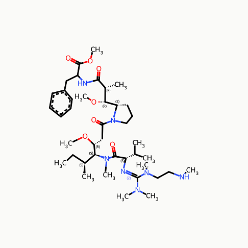 CC[C@H](C)[C@@H]([C@@H](CC(=O)N1CCC[C@H]1[C@H](OC)[C@@H](C)C(=O)NC(Cc1ccccc1)C(=O)OC)OC)N(C)C(=O)[C@@H](/N=C(/N(C)C)N(C)CCNC)C(C)C